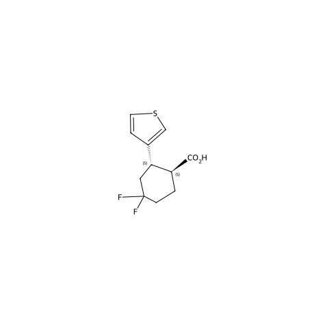 O=C(O)[C@H]1CCC(F)(F)C[C@@H]1c1ccsc1